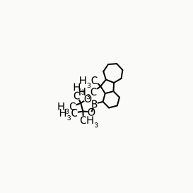 CC1(C)C2CCCCCC2C2CCCC(B3OC(C)(C)C(C)(C)O3)C21